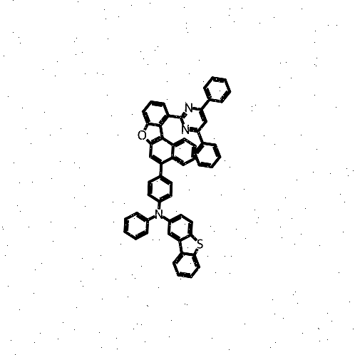 c1ccc(-c2cc(-c3ccccc3)nc(-c3cccc4oc5cc(-c6ccc(N(c7ccccc7)c7ccc8sc9ccccc9c8c7)cc6)c6ccccc6c5c34)n2)cc1